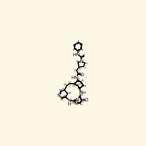 C=C(Nc1ccccc1)N1CCC(CC(=O)Nc2ccc3cc2CCC2C=NC=C(C2)Nc2ncc(Cl)c(n2)N3)C1